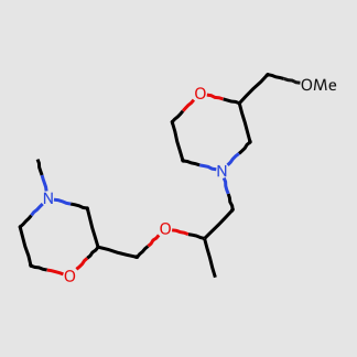 COCC1CN(CC(C)OCC2CN(C)CCO2)CCO1